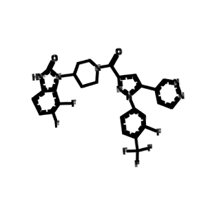 O=C(c1cc(-c2ccnnc2)n(-c2ccc(C(F)(F)F)c(F)c2)n1)N1CCC(n2c(=O)[nH]c3ccc(F)c(F)c32)CC1